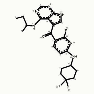 CCC(C)Nc1ncnc2[nH]cc(C(=O)c3ccc(NC4CCC(F)(F)CC4)nc3F)c12